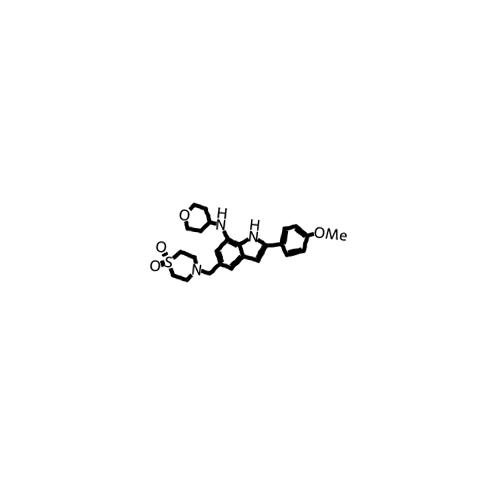 COc1ccc(-c2cc3cc(CN4CCS(=O)(=O)CC4)cc(NC4CCOCC4)c3[nH]2)cc1